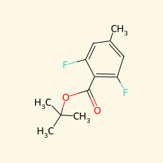 Cc1cc(F)c(C(=O)OC(C)(C)C)c(F)c1